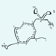 Cc1cc(O)ccc1S(=O)(=O)S